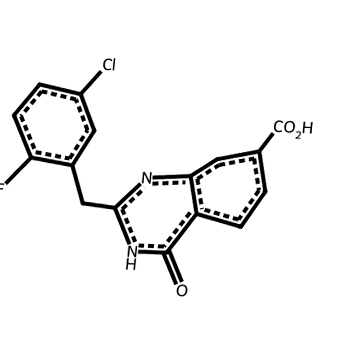 O=C(O)c1ccc2c(=O)[nH]c(Cc3cc(Cl)ccc3F)nc2c1